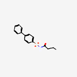 O=[C]CCC(=O)NS(=O)(=O)c1ccc(-c2ccccc2)cc1